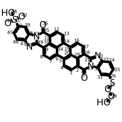 O=c1c2ccc3c4ccc5c6c(ccc(c7ccc(c2c73)c2nc3ccc(SOOO)cc3n12)c46)c(=O)n1c2cc(S(=O)(=O)O)ccc2nc51